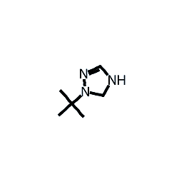 CC(C)(C)N1CNC=N1